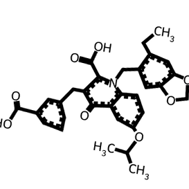 CCc1cc2c(cc1Cn1c(C(=O)O)c(Cc3cccc(C(=O)O)c3)c(=O)c3cc(OC(C)C)ccc31)OCO2